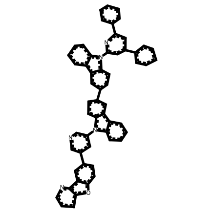 c1ccc(-c2cc(-c3ccccc3)nc(-n3c4ccccc4c4cc(-c5ccc6c(c5)c5ccccc5n6-c5cncc(-c6ccc7oc8cccnc8c7c6)c5)ccc43)c2)cc1